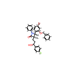 [2H]C1(CCC(O)c2ccc(F)cc2)C(=O)N(c2ccccc2)C1([2H])c1ccc(Br)cc1OCc1ccccc1